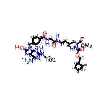 CCCCNc1nc(N)c2nc(O)n(Cc3ccc(C(=O)NCC(=O)NCCCC[C@H](NC(=O)OCc4ccccc4)C(=O)OC)cc3)c2n1